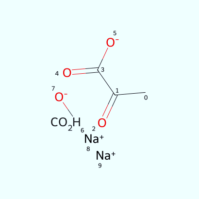 CC(=O)C(=O)[O-].O=C([O-])O.[Na+].[Na+]